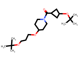 CC(C)(C)OCCCOC1CCN(C(=O)C2CC(OC(C)(C)C)C2)CC1